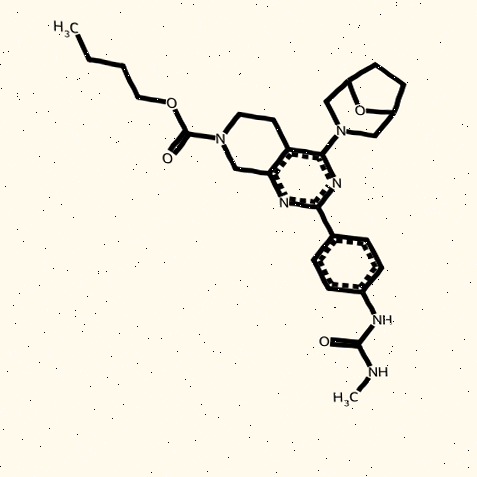 CCCCOC(=O)N1CCc2c(nc(-c3ccc(NC(=O)NC)cc3)nc2N2CC3CCC(C2)O3)C1